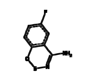 NC1=NSOc2ccc(F)cc21